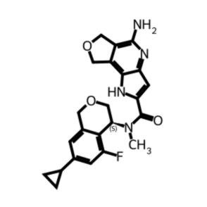 CN(C(=O)c1cc2nc(N)c3c(c2[nH]1)COC3)[C@@H]1COCc2cc(C3CC3)cc(F)c21